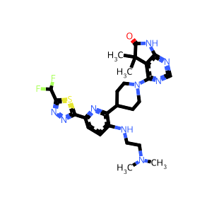 CN(C)CCNc1ccc(-c2nnc(C(F)F)s2)nc1C1CCN(c2ncnc3c2C(C)(C)C(=O)N3)CC1